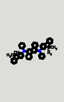 CC1(C)c2ccccc2-c2ccc(N(C3=CC=CCC3)c3cc4c(cc(N(c5ccccc5)c5ccc6c(c5)C(C)(C)c5ccccc5-6)c5ccccc54)c4c3CCC=C4)cc21